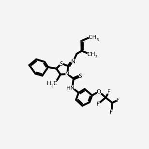 C/C=C(\C)C/N=C1\SC(c2ccccc2)C(C)N1C(=S)Nc1cccc(OC(F)(F)C(F)F)c1